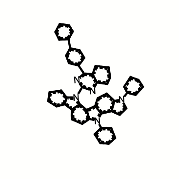 c1ccc(-c2ccc(-c3nc(-n4c5ccccc5c5ccc6c(c7ccc8c(ccn8-c8ccccc8)c7n6-c6ccccc6)c54)nc4ccccc34)cc2)cc1